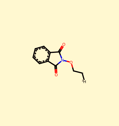 [3H][CH]CON1C(=O)c2ccccc2C1=O